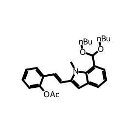 CCCCOC(OCCCC)c1cccc2cc(C=Cc3ccccc3OC(C)=O)n(C)c12